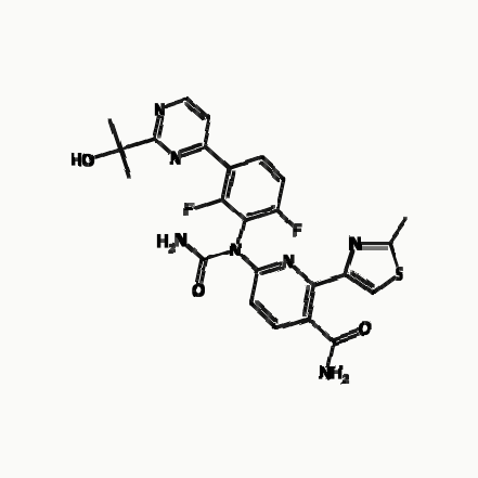 Cc1nc(-c2nc(N(C(N)=O)c3c(F)ccc(-c4ccnc(C(C)(C)O)n4)c3F)ccc2C(N)=O)cs1